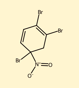 O=[N+]([O-])C1(Br)C=CC(Br)=C(Br)C1